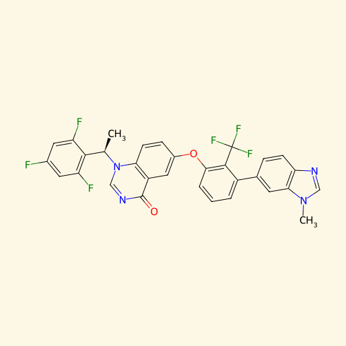 C[C@H](c1c(F)cc(F)cc1F)n1cnc(=O)c2cc(Oc3cccc(-c4ccc5ncn(C)c5c4)c3C(F)(F)F)ccc21